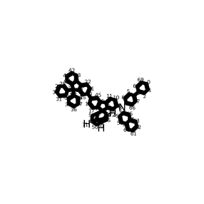 c1ccc(-c2ccc(N(c3ccc4c(c3)C3(c5ccc(-c6ccc7c(c6)C(c6ccccc6)(c6ccccc6)c6ccccc6-7)cc5-4)C4C[C@H]5C[C@@H](C4)C[C@@H]3C5)c3ccc4ccccc4c3)cc2)cc1